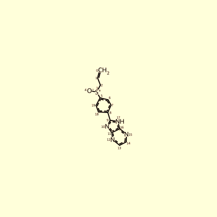 C=CC[S+]([O-])c1ccc(-c2nc3nccnc3[nH]2)cc1